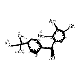 Cc1c(O)ccc(C(=O)c2ccc(C(C)(C)C)cc2)c1O